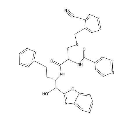 N#Cc1ccccc1CSC[C@H](NC(=O)c1ccncc1)C(=O)N[C@@H](CCc1ccccc1)C(O)c1nc2ccccc2o1